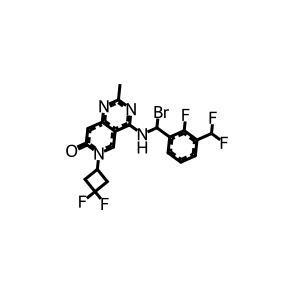 Cc1nc(NC(Br)c2cccc(C(F)F)c2F)c2cn(C3CC(F)(F)C3)c(=O)cc2n1